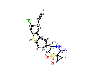 CC#Cc1cc2c(cc1Cl)sc1ccc([C@]3(C)CS(=O)(=O)C4(CC4)C(=N)N3)cc12